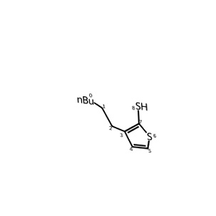 CCCCCCc1ccsc1S